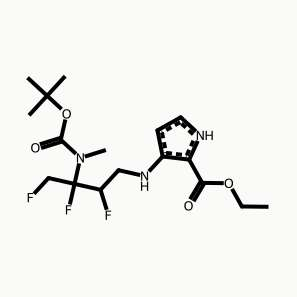 CCOC(=O)c1[nH]ccc1NCC(F)C(F)(CF)N(C)C(=O)OC(C)(C)C